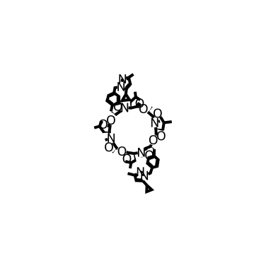 Cc1cc(C2CC2)n(Cc2ccc(C[C@H]3OC(=O)[C@H](CC(C)C)N(C)C(=O)[C@@H](C)OC(=O)[C@H](CC(C)C)N(C)C(=O)[C@@H](Cc4ccc(Cn5nc(C)cc5C5CC5)cc4)OC(=O)[C@H](CC(C)C)N(C)C(=O)[C@@H](C)OC(=O)[C@H](CC(C)C)N(C)C3=O)cc2)n1